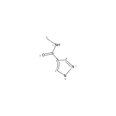 CNC(=O)C1=C[N]N=C1